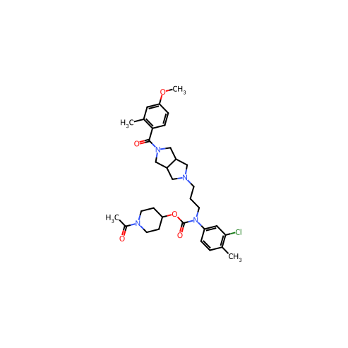 COc1ccc(C(=O)N2CC3CN(CCCN(C(=O)OC4CCN(C(C)=O)CC4)c4ccc(C)c(Cl)c4)CC3C2)c(C)c1